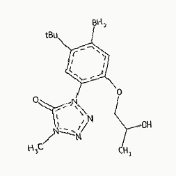 Bc1cc(OCC(C)O)c(-n2nnn(C)c2=O)cc1C(C)(C)C